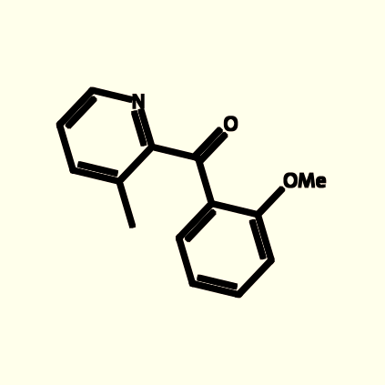 COc1ccccc1C(=O)c1ncccc1C